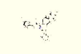 CC(C)S(=O)(=O)c1ccc(/C(=N\O[C@@H]2CCOC2)C(=O)Nc2ncc(F)s2)cc1